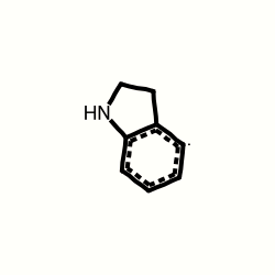 [c]1cccc2c1CCN2